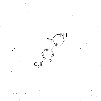 C[C@H]1CNCCN1c1ccc([N+](=O)[O-])nc1